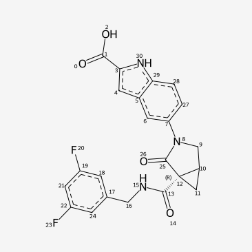 O=C(O)c1cc2cc(N3CC4C[C@@]4(C(=O)NCc4cc(F)cc(F)c4)C3=O)ccc2[nH]1